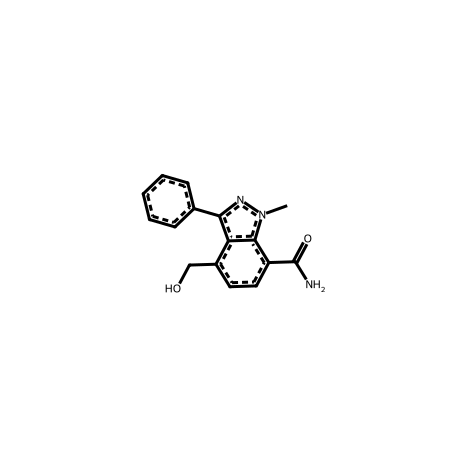 Cn1nc(-c2ccccc2)c2c(CO)ccc(C(N)=O)c21